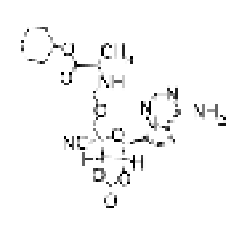 C[C@H](NCOC[C@@]1(C#N)O[C@@H](c2ccc3c(N)ncnn23)[C@@H]2OC(=O)O[C@@H]21)C(=O)OC1CCCCC1